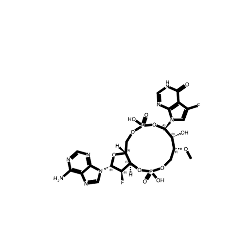 CO[C@@H]1COP(=O)(O)O[C@H]2[C@@H](F)[C@H](n3cnc4c(N)ncnc43)O[C@@H]2COP(=O)(O)O[C@@H](n2cc(F)c3c(=O)[nH]cnc32)[C@@H]1O